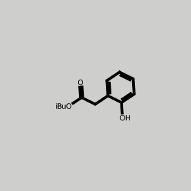 CC(C)COC(=O)Cc1c[c]ccc1O